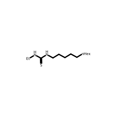 CCCCCCCCCCCNC(=S)NCC